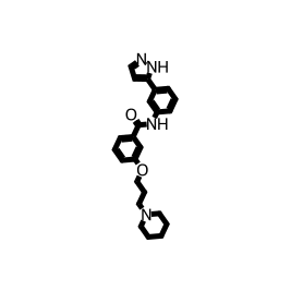 O=C(Nc1cccc(-c2ccn[nH]2)c1)c1cccc(OCCCN2CCCCC2)c1